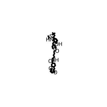 CC(C)Sc1[nH]c2c(CN3CCN(C(=O)CCCCCNC(=O)C4CCC(CN5C(=O)C=CC5=O)CC4)CC3)c(O)ccc2c1CC(C)(C)C